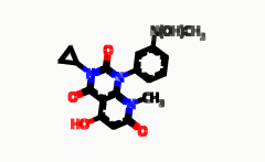 CN(O)c1cccc(-n2c(=O)n(C3CC3)c(=O)c3c(O)cc(=O)n(C)c32)c1